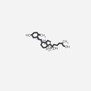 C=C1CC[C@@H](O)C/C1=C/C=C1\CCC[C@@]2(C)[C@H]1CC[C@@H]2[C@@](C)(O)CCCC(C)CO